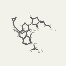 CCCC=C1CC(=O)N([C@@H]2CCC3(O)[C@H]4Cc5ccc(OC(C)=O)c6c5[C@@]3(CCN4CC3CC3)[C@H]2O6)C1=O